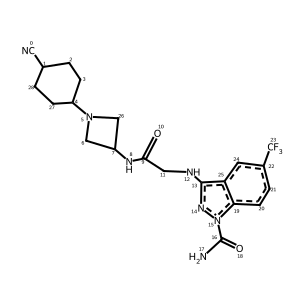 N#CC1CCC(N2CC(NC(=O)CNc3nn(C(N)=O)c4ccc(C(F)(F)F)cc34)C2)CC1